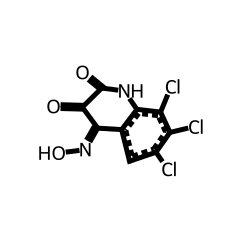 O=C1Nc2c(cc(Cl)c(Cl)c2Cl)C(=NO)C1=O